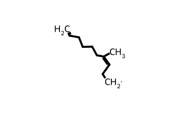 [CH2]CC=C(C)CCCCC=C